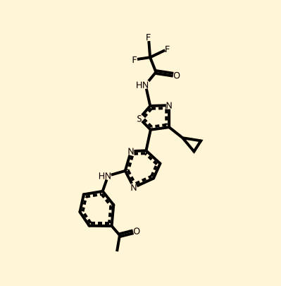 CC(=O)c1cccc(Nc2nccc(-c3sc(NC(=O)C(F)(F)F)nc3C3CC3)n2)c1